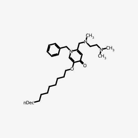 CCCCCCCCCCCCCCCCCCOc1cn(Cc2ccccc2)c(CN(C)CCN(C)C)cc1=O